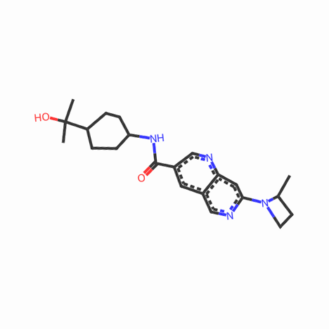 CC1CCN1c1cc2ncc(C(=O)NC3CCC(C(C)(C)O)CC3)cc2cn1